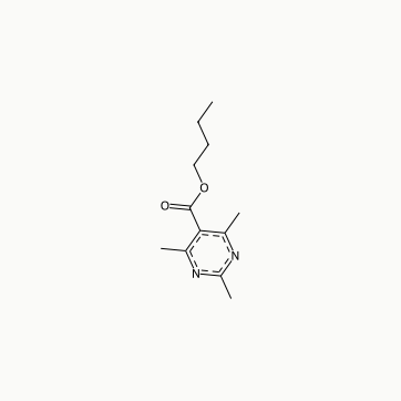 CCCCOC(=O)c1c(C)nc(C)nc1C